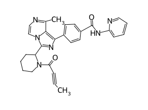 CC#CC(=O)N1CCCCC1c1nc(-c2ccc(C(=O)Nc3ccccn3)cc2)c2c(C)nccn12